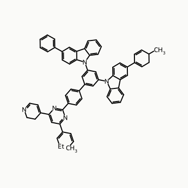 C/C=C\C(=C/CC)c1cc(C2=CC=NCC2)nc(-c2ccc(-c3cc(-n4c5ccccc5c5cc(C6=CCC(C)C=C6)ccc54)cc(-n4c5ccccc5c5cc(-c6ccccc6)ccc54)c3)cc2)n1